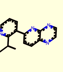 CC(C)c1ncccc1-c1ccc2nccnc2n1